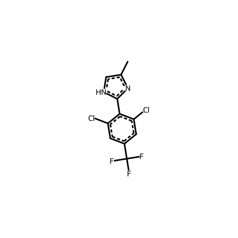 Cc1c[nH]c(-c2c(Cl)cc(C(F)(F)F)cc2Cl)n1